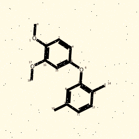 COc1ccc(Oc2cc(C)ccc2I)cc1OC